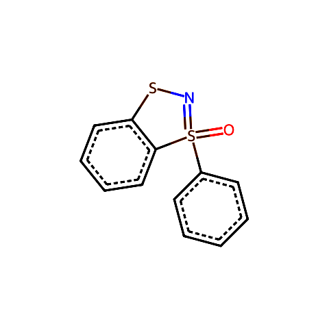 O=S1(c2ccccc2)=NSc2ccccc21